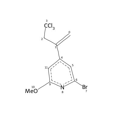 C=C(CC(Cl)(Cl)Cl)c1cc(Br)nc(OC)c1